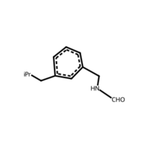 CC(C)Cc1cccc(CNC=O)c1